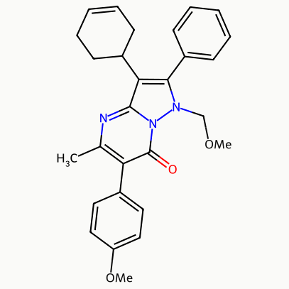 COCn1c(-c2ccccc2)c(C2CC=CCC2)c2nc(C)c(-c3ccc(OC)cc3)c(=O)n21